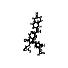 C=CCn1c(=O)c2cnc(Nc3ccc4c(c3)CCNC4)nc2n1-c1c[nH]c(C2CC2)n1